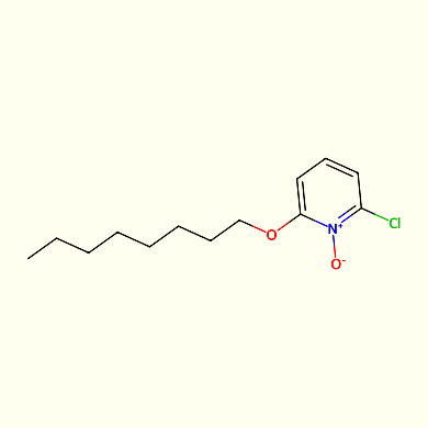 CCCCCCCCOc1cccc(Cl)[n+]1[O-]